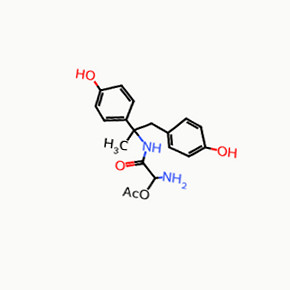 CC(=O)OC(N)C(=O)NC(C)(Cc1ccc(O)cc1)c1ccc(O)cc1